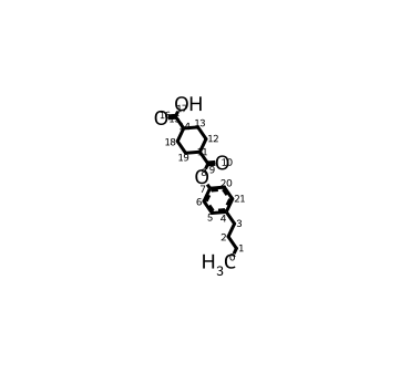 CCCCc1ccc(OC(=O)C2CCC(C(=O)O)CC2)cc1